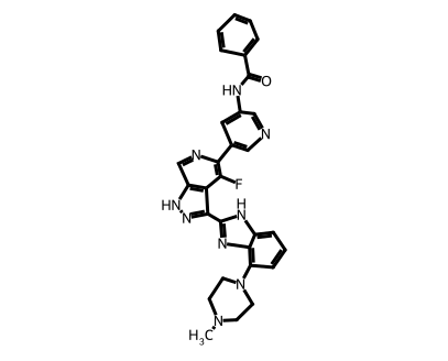 CN1CCN(c2cccc3[nH]c(-c4n[nH]c5cnc(-c6cncc(NC(=O)c7ccccc7)c6)c(F)c45)nc23)CC1